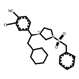 N#Cc1ccc(C(CC2CCCCC2)[C@H]2CCN(S(=O)(=O)Cc3ccccc3)C2)cc1Cl